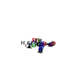 C\C(=C(Cl)/C=C(O)\C=C(/C)c1c(Cl)cc2c(N3CC4CCC(C3)N4)nc(OCCCN3C4CCC3COC4)nc2c1F)C1CC1